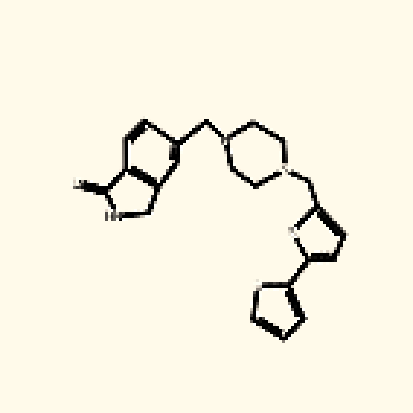 O=C1NCc2cc(CN3CCN(Cc4ccc(-c5cccs5)s4)CC3)ccc21